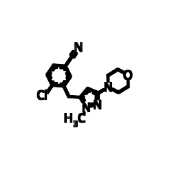 Cn1nc(N2CCOCC2)cc1Cc1cc(C#N)ccc1Cl